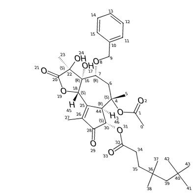 CC(=O)O[C@@]1(C)C[C@@H](OCc2ccccc2)[C@@]2(O)[C@@H](OC(=O)[C@@]2(C)O)C2=C(C)C(=O)[C@@H](OC(=O)CCC(C)(C)CC(C)(C)C)[C@@H]21